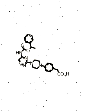 CC(OC(=O)Nc1cnnc(N2CCN(c3ccc(CC(=O)O)cc3)CC2)n1)c1ccccc1